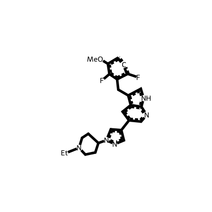 CCN1CCC(n2cc(-c3cnc4[nH]cc(Cc5c(F)ccc(OC)c5F)c4c3)cn2)CC1